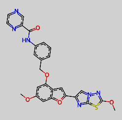 COc1cc(OCc2cccc(NC(=O)c3cnccn3)c2)c2cc(-c3cn4nc(OC)sc4n3)oc2c1